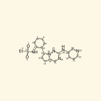 CCS(=O)(=O)Nc1ccccc1-c1ccc2cnc(Nc3cccnc3)nn12